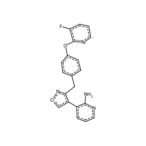 Nc1ncccc1-c1conc1Cc1ccc(Oc2ncccc2F)cc1